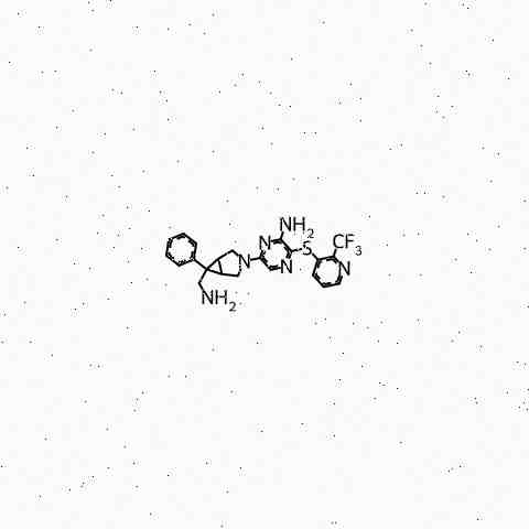 NCC1(c2ccccc2)C2CN(c3cnc(Sc4cccnc4C(F)(F)F)c(N)n3)CC21